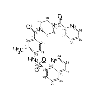 Cc1cc(C(=O)N2CCN(C(=O)c3ccccn3)CC2)ccc1NS(=O)(=O)c1cccc2cccnc12